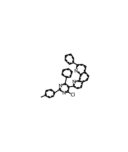 Cc1ccc(-c2nc(Cl)c(-c3ccc4ccc5ccc(-c6ccccc6)nc5c4n3)c(-c3ccccc3)n2)cc1